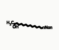 CCCCCCCCCCCCCCCCCCCCCC(C)O